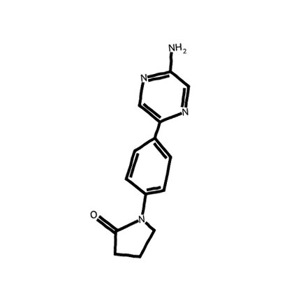 Nc1cnc(-c2ccc(N3CCCC3=O)cc2)cn1